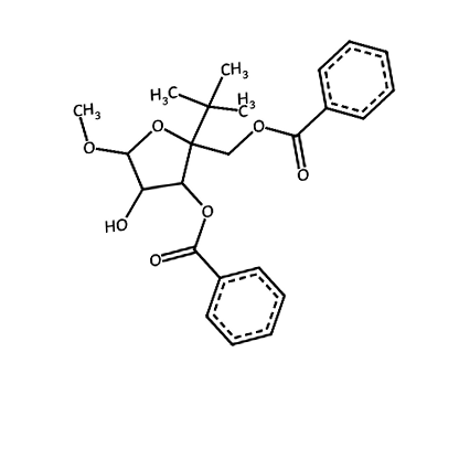 COC1OC(COC(=O)c2ccccc2)(C(C)(C)C)C(OC(=O)c2ccccc2)C1O